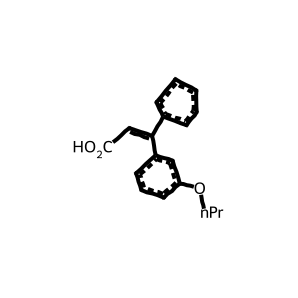 CCCOc1cccc(/C(=C\C(=O)O)c2ccccc2)c1